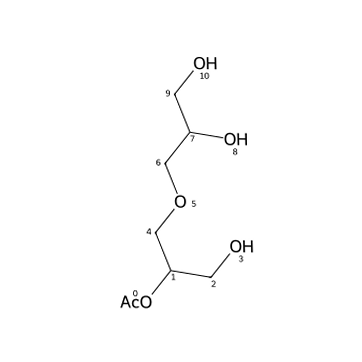 CC(=O)OC(CO)COCC(O)CO